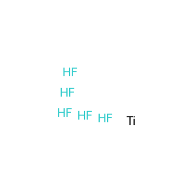 F.F.F.F.F.[Ti]